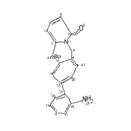 CCCCc1cccc(=O)n1Cc1ccc(-c2ccccc2N)cc1